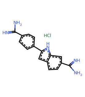 Cl.N=C(N)c1ccc(-c2cc3ccc(C(=N)N)cc3[nH]2)cc1